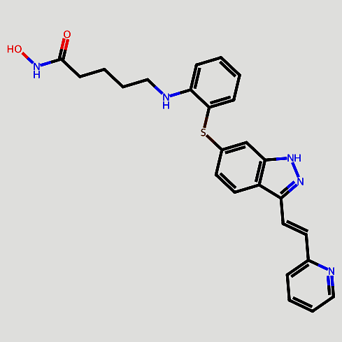 O=C(CCCCNc1ccccc1Sc1ccc2c(/C=C/c3ccccn3)n[nH]c2c1)NO